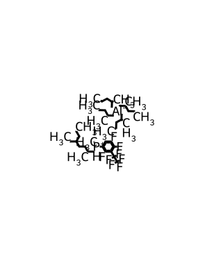 CCCC(C)[CH2][Al-]([CH2]C(C)CCC)([CH2]C(C)CCC)[CH2]C(C)CCC.CCCC(CC)CCC(C)C[PH+](C)c1cc(F)c(F)c(C(F)(F)C(F)(F)F)c1F